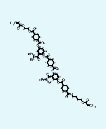 C=CC(=O)OCCCCOC(=O)C1CCC(C(=O)Oc2ccc(OC(=O)C3CCC(C(=O)Oc4ccc(OC(=O)C5CCC(C(=O)OCCOC(=O)C=C)CC5)cc4C(=O)N(CC)CCC)CC3)c(C(=O)N(CCC)CCC)c2)CC1